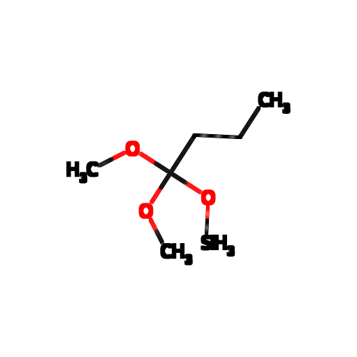 CCCC(OC)(OC)O[SiH3]